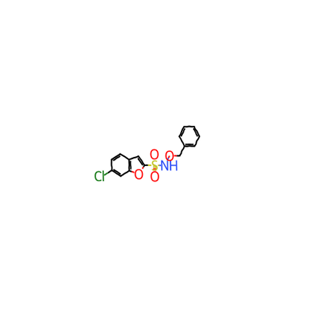 O=S(=O)(NOCc1ccccc1)c1cc2ccc(Cl)cc2o1